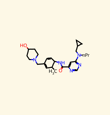 CCCN(CC1CC1)c1cc(C(=O)NC2C=CC(CN3CCC(O)CC3)=CC2C)ncn1